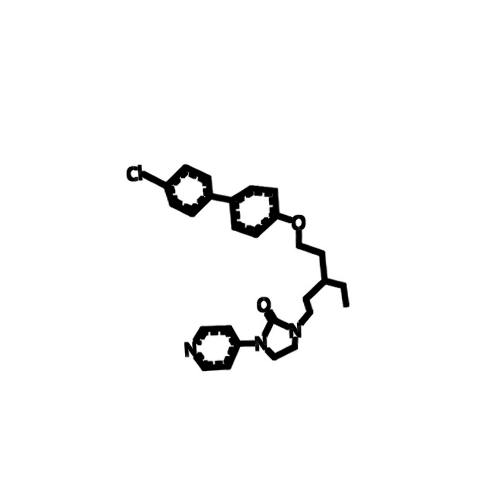 CCC(CCOc1ccc(-c2ccc(Cl)cc2)cc1)CCN1CCN(c2ccncc2)C1=O